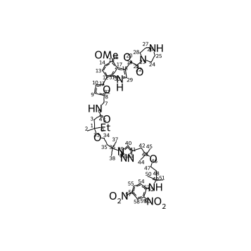 CCC(C)(CC(=O)NCc1ccc(-c2ccc(OC)c3c(C(=O)C(=O)N4CCNCC4)c[nH]c23)o1)OCCC(C)(C)n1cc(CC(C)(C)OCCC(C)(C)Nc2ccc([N+](=O)[O-])cc2[N+](=O)[O-])nn1